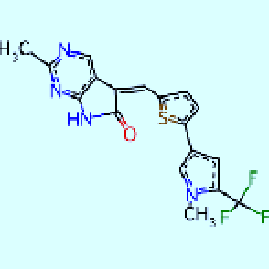 Cc1ncc2c(n1)NC(=O)C2=Cc1ccc(-c2cc(C(F)(F)F)n(C)c2)s1